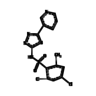 Cc1cc(Cl)cc(Cl)c1S(=O)(=O)Nc1nnc(-c2cccnc2)s1